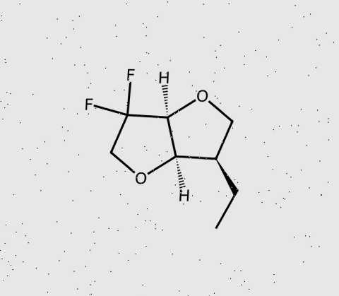 CC[C@@H]1CO[C@H]2[C@@H]1OCC2(F)F